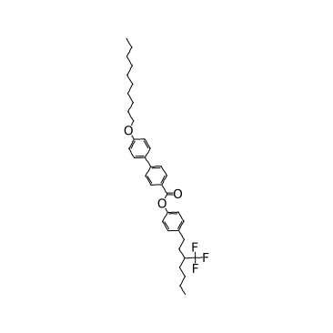 CCCCCCCCCCOc1ccc(-c2ccc(C(=O)Oc3ccc(CCC(CCCC)C(F)(F)F)cc3)cc2)cc1